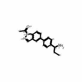 CCC(N)c1ccc(-c2ccc3c(cnn3C(C)=O)c2)cc1